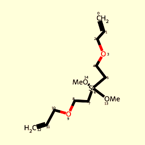 C=CCOCC[Si](CCOCC=C)(OC)OC